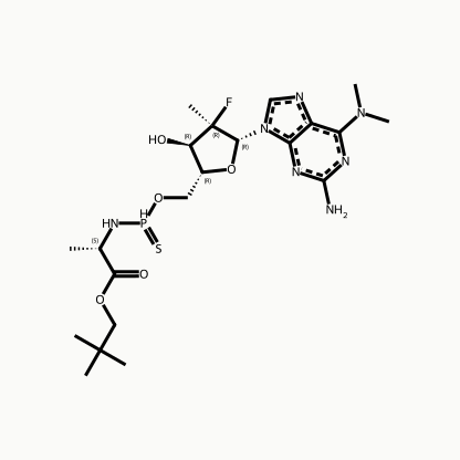 C[C@H](N[PH](=S)OC[C@H]1O[C@@H](n2cnc3c(N(C)C)nc(N)nc32)[C@](C)(F)[C@@H]1O)C(=O)OCC(C)(C)C